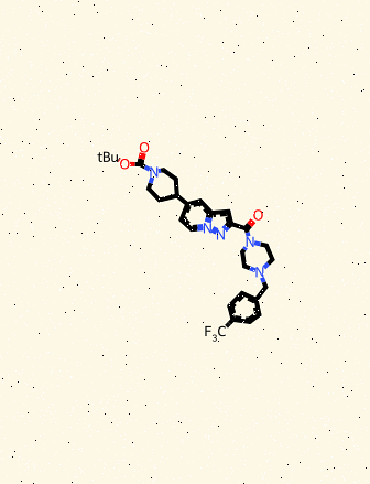 CC(C)(C)OC(=O)N1CCC(c2ccn3nc(C(=O)N4CCN(Cc5ccc(C(F)(F)F)cc5)CC4)cc3c2)CC1